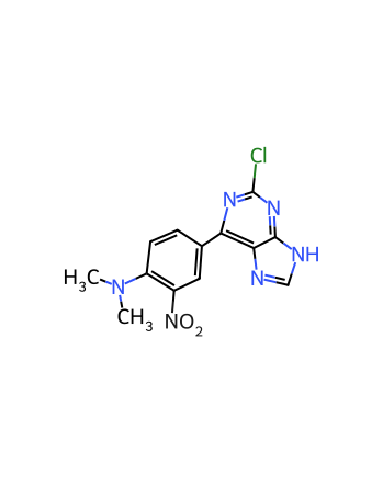 CN(C)c1ccc(-c2nc(Cl)nc3[nH]cnc23)cc1[N+](=O)[O-]